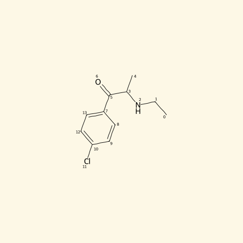 CCNC(C)C(=O)c1ccc(Cl)cc1